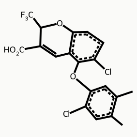 Cc1cc(Cl)c(Oc2c(Cl)ccc3c2C=C(C(=O)O)C(C(F)(F)F)O3)cc1C